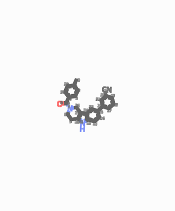 Cc1ccc(C(=O)N2CCc3[nH]c4ccc(-c5cccc(C#N)c5)cc4c3C2)cc1